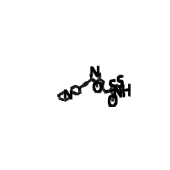 O=C1NC(=S)S/C1=C\c1cc2cncc(C#Cc3ccc(N4CCCCC4)cc3)c2o1